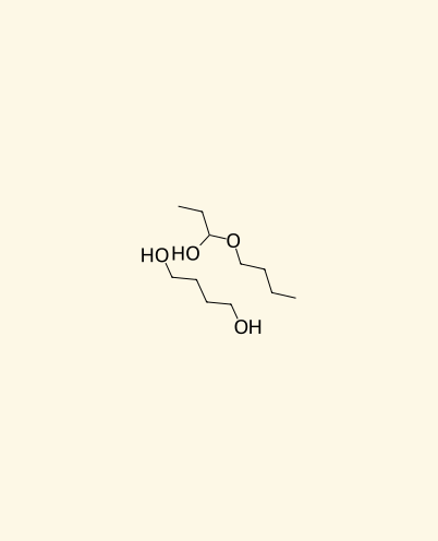 CCCCOC(O)CC.OCCCCO